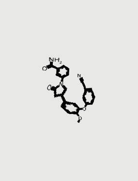 COc1ccc(C2CC(=O)N(c3cccc(C(N)=O)c3)C2)cc1Oc1cccc(C#N)c1